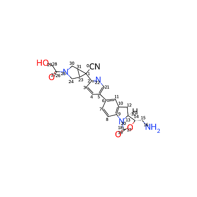 N#CC1(c2ccc(-c3ccc4c(c3)C[C@H]3[C@H](CN)OC(=O)N43)cn2)C2CN(C(=O)CO)CC21